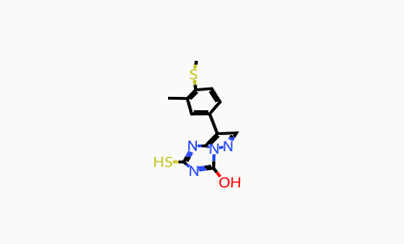 CSc1ccc(-c2cnn3c(O)nc(S)nc23)cc1C